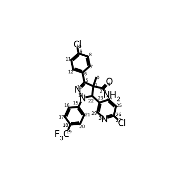 CC1(C(N)=O)C(c2ccc(Cl)cc2)=NN(c2ccc(C(F)(F)F)cc2)C1c1ccc(Cl)nc1